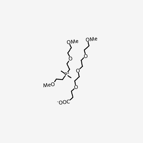 COCCOCCOCCOCCC(=O)[O-].COCCOCC[P+](C)(C)CCOC